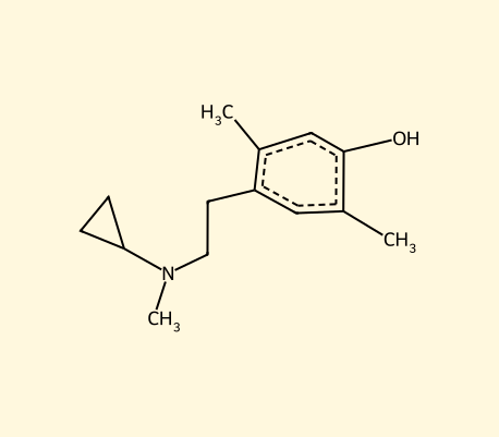 Cc1cc(CCN(C)C2CC2)c(C)cc1O